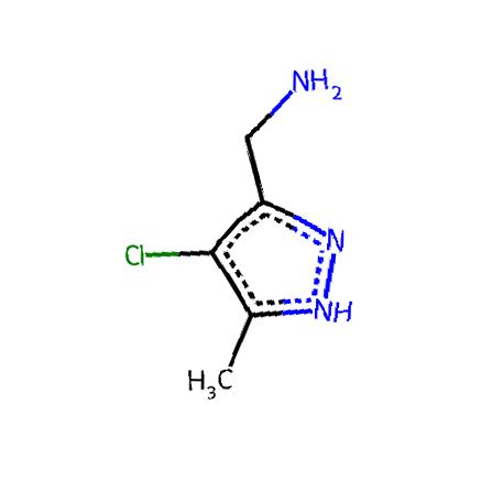 Cc1[nH]nc(CN)c1Cl